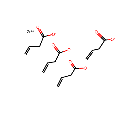 C=CCC(=O)[O-].C=CCC(=O)[O-].C=CCC(=O)[O-].C=CCC(=O)[O-].[Zr+4]